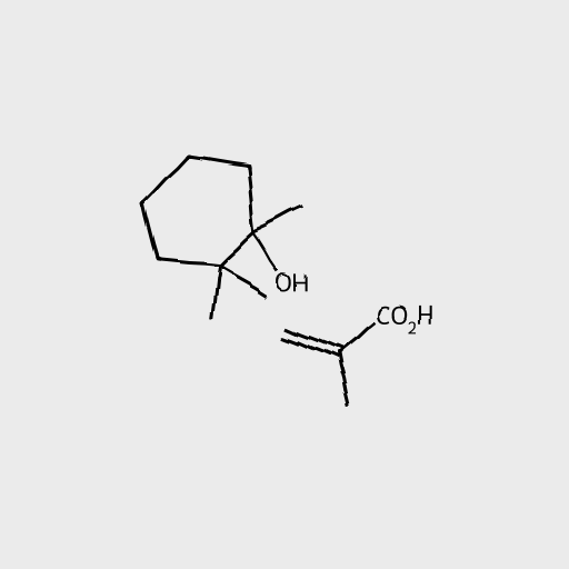 C=C(C)C(=O)O.CC1(C)CCCCC1(C)O